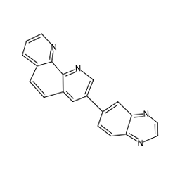 c1cnc2c(c1)ccc1cc(-c3ccc4nccnc4c3)cnc12